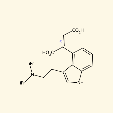 CC(C)N(CCc1c[nH]c2cccc(/C(=C\C(=O)O)C(=O)O)c12)C(C)C